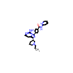 CC=CN1CCC[C@@H](c2nc(-c3ccc(C(=O)Nc4ccccn4)cc3)n3c(N)nccc23)C1